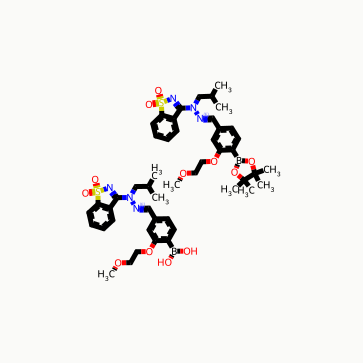 COCCOc1cc(/C=N/N(CC(C)C)C2=NS(=O)(=O)c3ccccc32)ccc1B(O)O.COCCOc1cc(/C=N/N(CC(C)C)C2=NS(=O)(=O)c3ccccc32)ccc1B1OC(C)(C)C(C)(C)O1